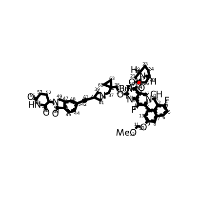 C#Cc1c(F)ccc2cc(OCOC)cc(-c3ncc4c(N5C[C@H]6CC[C@@H](C5)N6C(=O)OC(C)(C)C)nc(OCC5(CN6CC(C#Cc7ccc8c(c7)CN(C7CCC(=O)NC7=O)C8=O)C6)CC5)nc4c3F)c12